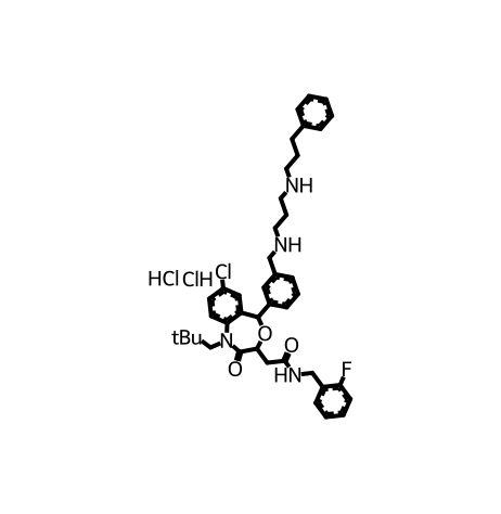 CC(C)(C)CN1C(=O)C(CC(=O)NCc2ccccc2F)OC(c2cccc(CNCCCNCCCc3ccccc3)c2)c2cc(Cl)ccc21.Cl.Cl